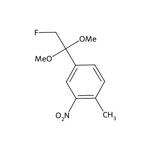 COC(CF)(OC)c1ccc(C)c([N+](=O)[O-])c1